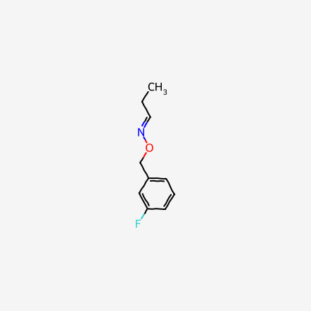 CCC=NOCc1cccc(F)c1